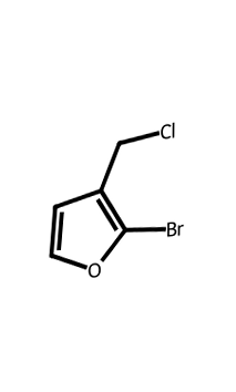 ClCc1ccoc1Br